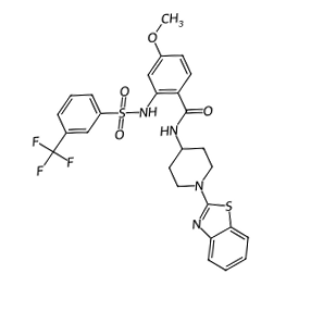 COc1ccc(C(=O)NC2CCN(c3nc4ccccc4s3)CC2)c(NS(=O)(=O)c2cccc(C(F)(F)F)c2)c1